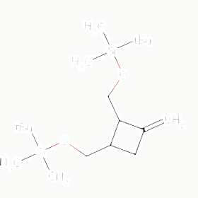 C=C1CC(CO[Si](C)(C)C(C)(C)C)C1CO[Si](C)(C)C(C)(C)C